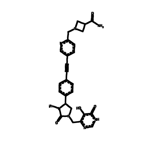 CC(C)N1C(=O)N(Cc2nc[nH]c(=O)c2O)CC1c1ccc(C#Cc2ccc(CN3CC(C(N)=O)C3)nc2)cc1